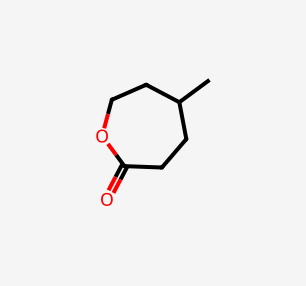 CC1CCOC(=O)CC1